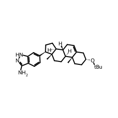 CC(C)(C)O[C@@H]1CC[C@@]2(C)C(=CC[C@H]3[C@@H]4CC[C@H](c5ccc6c(N)n[nH]c6c5)[C@@]4(C)CC[C@@H]32)C1